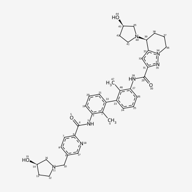 Cc1c(NC(=O)c2ccc(CN3CC[C@@H](O)C3)cn2)cccc1-c1cccc(NC(=O)c2cc3n(n2)CCC[C@@H]3N2CC[C@@H](O)C2)c1C